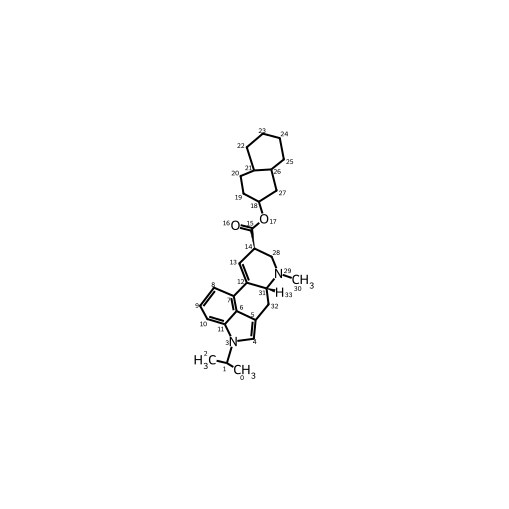 CC(C)n1cc2c3c(cccc31)C1=C[C@@H](C(=O)OC3CCC4CCCCC4C3)CN(C)[C@@H]1C2